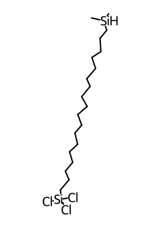 C[SiH](C)CCCCCCCCCCCCCCCCCC[Si](Cl)(Cl)Cl